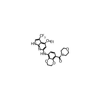 CCOc1cc(Nc2ccc(C(=O)N3CCOCC3)c3c2OCCO3)nc2[nH]cc(C(F)(F)F)c12